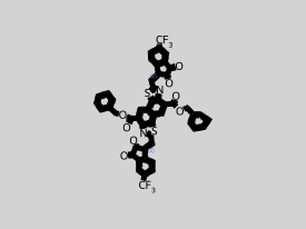 O=C1C(=O)c2cc(C(F)(F)F)ccc2/C1=C/c1nc2c(C(=O)OCc3ccccc3)cc3c(cc(C(=O)OCc4ccccc4)c4nc(/C=C5\C(=O)C(=O)c6cc(C(F)(F)F)ccc65)sc43)c2s1